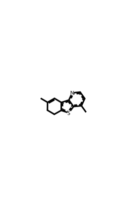 CC1=Cc2c(sc3c(C)ccnc23)CC1